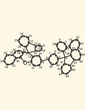 c1ccc(C2(c3ccc(-c4ccc5c(c4)C4(c6ccccc6-c6ccccc64)c4ccc6ccccc6c4O5)cc3)c3ccccc3-c3ccc4ccccc4c32)cc1